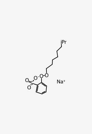 CC(C)CCCCCCOOc1ccccc1S(=O)(=O)[O-].[Na+]